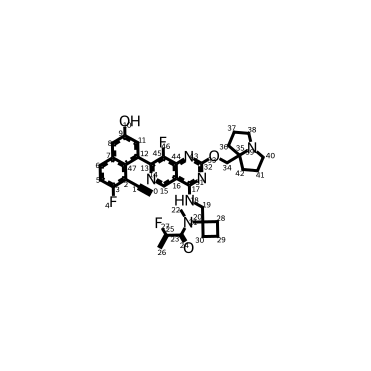 C#Cc1c(F)ccc2cc(O)cc(-c3ncc4c(NCC5(N(C)C(=O)C(=C)F)CCC5)nc(OCC56CCCN5CCC6)nc4c3F)c12